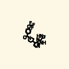 O=C(c1ccc(OC(F)(F)F)cc1)N1CCC(c2ccnc3[nH]c(C4CCN4)nc23)CC1